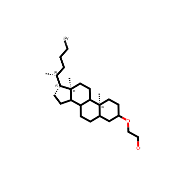 CC(C)CCC[C@@H](C)[C@H]1CCC2C3CCC4CC(OCC[O])CC[C@]4(C)C3CC[C@@]21C